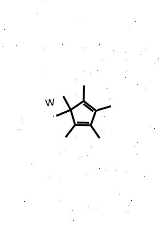 [CH2]C1(C)C(C)=C(C)C(C)=C1C.[W]